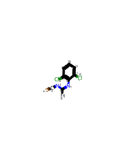 CCC(N=C=S)=Nc1c(Cl)cccc1Cl